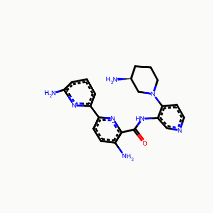 Nc1cccc(-c2ccc(N)c(C(=O)Nc3cnccc3N3CCC[C@H](N)C3)n2)n1